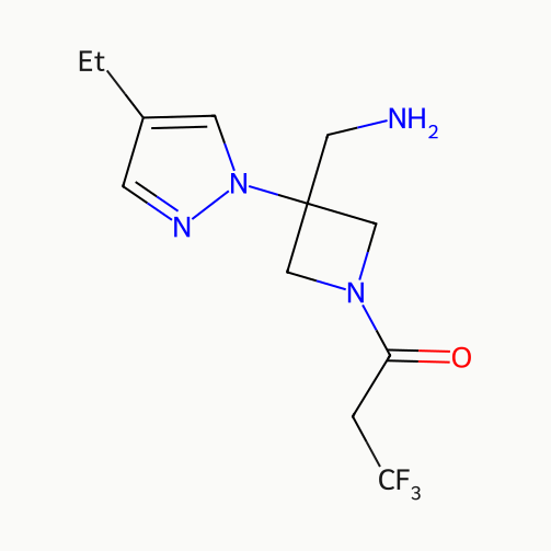 CCc1cnn(C2(CN)CN(C(=O)CC(F)(F)F)C2)c1